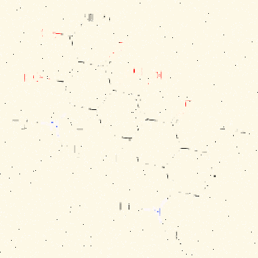 COc1ccc(N(C)C)c2c1C(=O)C1=C(O)[C@]3(O)C(=O)C(C(=O)NC(C)=O)=C(O)[C@@H](N(C)C)[C@@H]3C[C@@H]1C2